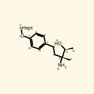 CCCCCCCOc1ccc(CC[C@@](C)(N)[C@H](C)O)cc1